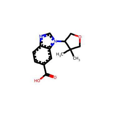 CC1(C)COCC1n1cnc2ccc(C(=O)O)cc21